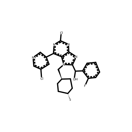 C[C@H]1CC[C@H](Cn2c(C(O)c3ccccc3F)nc3nc(Cl)nc(-c4cncc(Cl)c4)c32)CC1